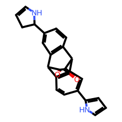 O=C1C(=O)C2c3ccc(-c4ccc[nH]4)cc3C1c1ccc(C3CC=CN3)cc12